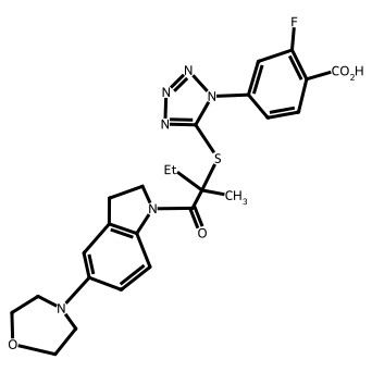 CCC(C)(Sc1nnnn1-c1ccc(C(=O)O)c(F)c1)C(=O)N1CCc2cc(N3CCOCC3)ccc21